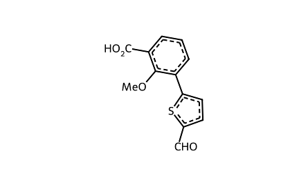 COc1c(C(=O)O)cccc1-c1ccc(C=O)s1